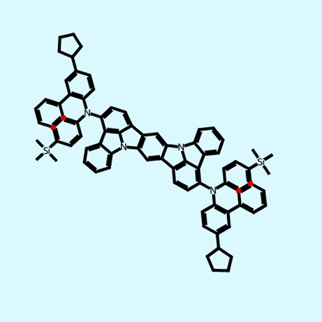 C[Si](C)(C)c1ccc(N(c2ccc(C3CCCC3)cc2-c2ccccc2)c2ccc3c4cc5c(cc4n4c6ccccc6c2c34)c2ccc(N(c3ccc([Si](C)(C)C)cc3)c3ccc(C4CCCC4)cc3-c3ccccc3)c3c4ccccc4n5c23)cc1